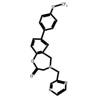 O=C1CN(Cc2cnccn2)Cc2cc(-c3ccc(OC(F)(F)F)cc3)ccc2O1